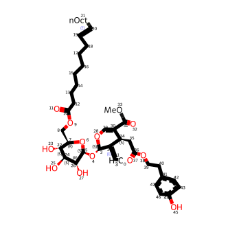 C/C=C1/[C@H](O[C@@H]2O[C@H](COC(=O)CCCCCCC/C=C/CCCCCCCC)[C@@H](O)[C@H](O)[C@H]2O)OC=C(C(=O)OC)[C@H]1CC(=O)OCCc1ccc(O)cc1